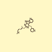 C=N/C=C\C=C(/C)Cc1nc(N)c(-c2cccnc2)c(Cc2cccnc2)n1